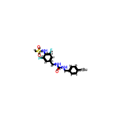 CC(C)(C)c1ccc(CNC(=O)NCc2cc(F)c(NS(C)(=O)=O)c(F)c2)cc1